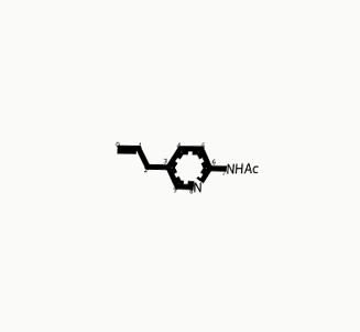 C=CCc1ccc(NC(C)=O)nc1